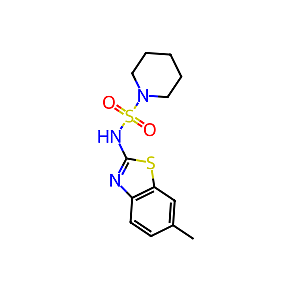 Cc1ccc2nc(NS(=O)(=O)N3CCCCC3)sc2c1